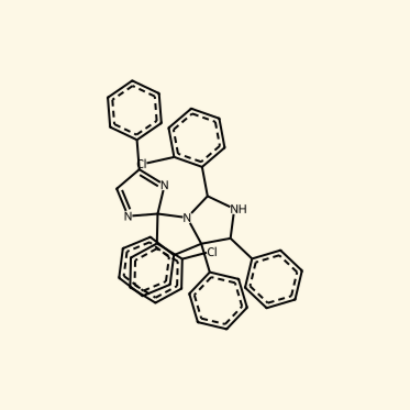 Clc1ccccc1C1NC(c2ccccc2)C(c2ccccc2)(c2ccccc2)N1C1(c2ccccc2Cl)N=CC(c2ccccc2)=N1